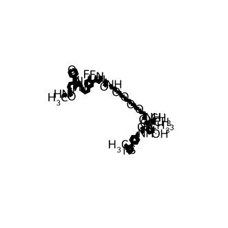 CNC(=O)N1CCc2c(c(N3CCCc4cc(-c5cnn(CC(=O)NCCOCCOCCOCCOCCC(=O)N[C@H](C(=O)N6C[C@H](O)C[C@H]6C(=O)NCc6ccc(-c7scnc7C)cc6)C(C)(C)C)c5)c(C(F)F)cc43)nn2C2CCOCC2)C1